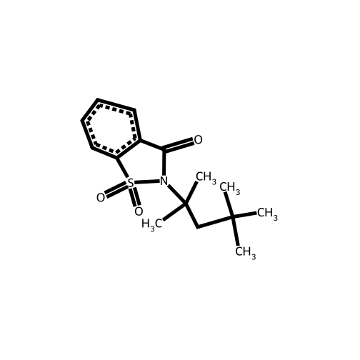 CC(C)(C)CC(C)(C)N1C(=O)c2ccccc2S1(=O)=O